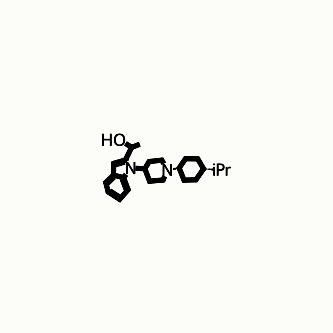 CC(O)c1cc2ccccc2n1C1CCN([C@H]2CC[C@@H](C(C)C)CC2)CC1